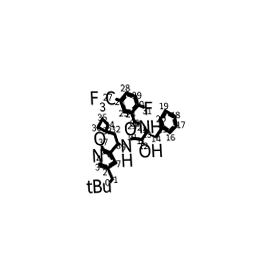 CC(C)(C)Cc1cnc2c(c1)[C@@H](NC[C@H](O)[C@H](Cc1ccccc1)NC(=O)c1cc(C(F)(F)F)ccc1F)CC1(CCC1)O2